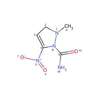 CN1CC=C([N+](=O)[O-])N1C(N)=O